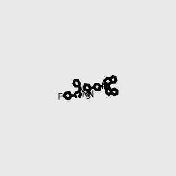 C=C/C(=C\C(C)c1ccc(F)cc1)N(C1=CCCC=C1)c1ccc(C2=CC=C(n3c4ccc5ccccc5c4c4c5ccccc5ccc43)CC2)c2nsnc12